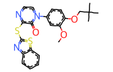 COc1cc(-n2ccnc(Sc3nc4ccccc4s3)c2=O)ccc1OCC(C)(C)C